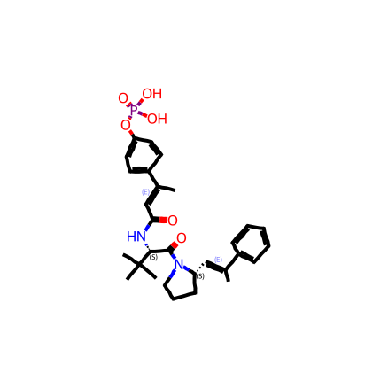 C/C(=C\[C@@H]1CCCN1C(=O)[C@@H](NC(=O)/C=C(\C)c1ccc(OP(=O)(O)O)cc1)C(C)(C)C)c1ccccc1